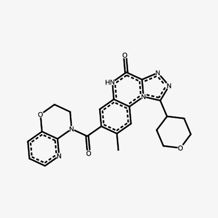 Cc1cc2c(cc1C(=O)N1CCOc3cccnc31)[nH]c(=O)c1nnc(C3CCOCC3)n12